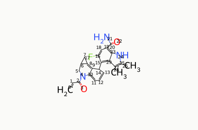 C=CC(=O)N1CC2CC2=C2C1=CC=CC2c1c(F)cc(C(N)=O)c2[nH]c(C)c(C)c12